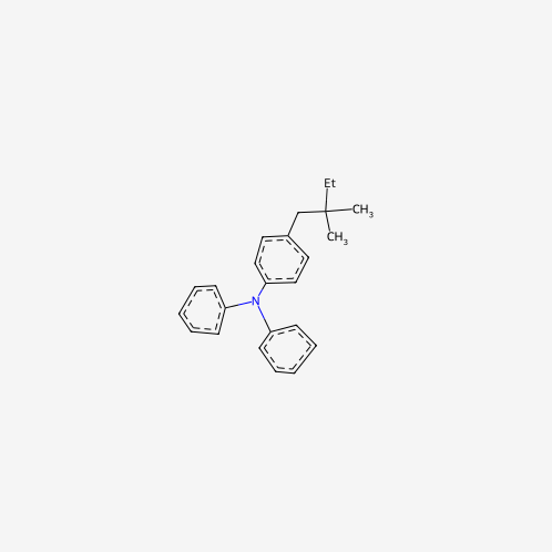 CCC(C)(C)Cc1ccc(N(c2ccccc2)c2ccccc2)cc1